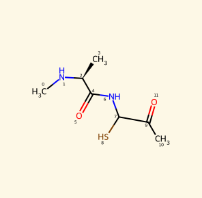 CN[C@@H](C)C(=O)NC(S)C(C)=O